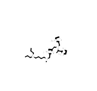 CCCN(CCC)CCCCN(C)Cc1nc(CN(Cc2ncc[nH]2)C(C)c2ncc[nH]2)c[nH]1